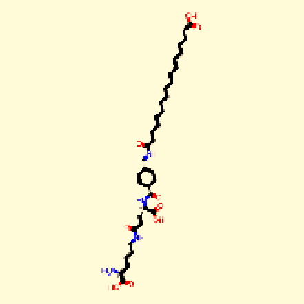 N[C@@H](CCCCNC(=O)CC[C@H](NC(=O)[C@H]1CC[C@H](CNC(=O)CCCCCCCCCCCCCCCCC(=O)O)CC1)C(=O)O)C(=O)O